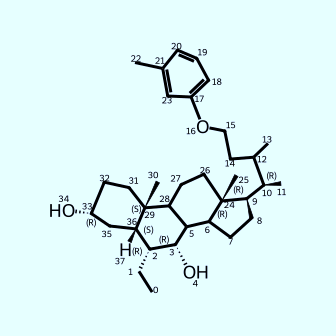 CC[C@H]1[C@@H](O)C2C3CC[C@H]([C@H](C)C(C)CCOc4cccc(C)c4)[C@@]3(C)CCC2[C@@]2(C)CC[C@@H](O)C[C@@H]12